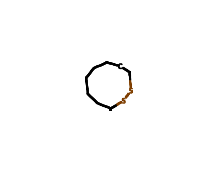 [C]1CCCCCCCSS1